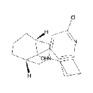 OC1(c2ccnc(Cl)c2)[C@@H]2CCC[C@H]1CN(C13CC(C1)C3)C2